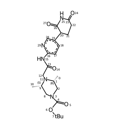 C[C@@H]1CN(C(=O)OC(C)(C)C)C[C@H](C)N1CC(=O)Nc1ccc(C2CCC(=O)NC2=O)cn1